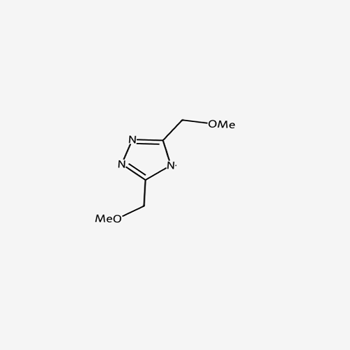 COCC1=NN=C(COC)[N]1